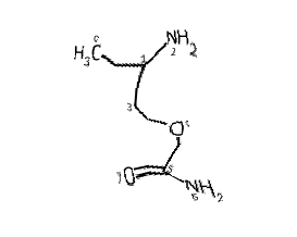 CC(N)COC(N)=O